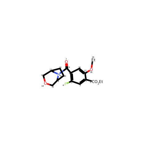 CCOC(=O)c1cc(F)c(C(=O)N2C3CCC2COC3)cc1OCC